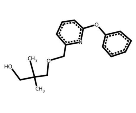 CC(C)(CO)COCc1cccc(Oc2ccccc2)n1